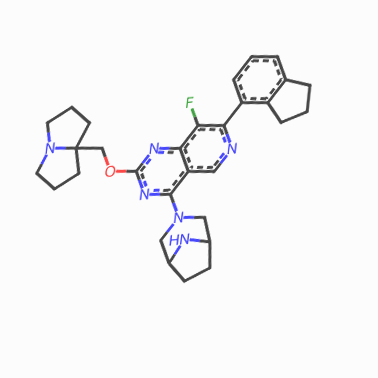 Fc1c(-c2cccc3c2CCC3)ncc2c(N3CC4CCC(C3)N4)nc(OCC34CCCN3CCC4)nc12